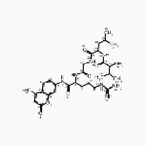 Cc1cc(=O)oc2cc(NC(=O)C(CCCNC(=N)N)NC(=O)CNC(=O)C(CC(C)C)NC(=O)C(N)C(C)C)ccc12